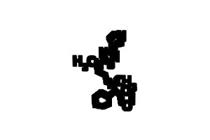 CN(CCCN(C)C(C1=CC=CCC1)C1=COC=CO1)c1nc(-n2ccnc2)ns1